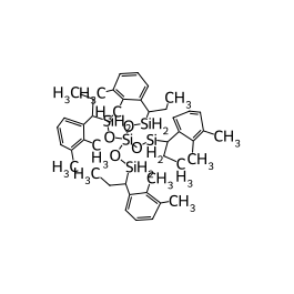 CCC([SiH2]O[Si](O[SiH2]C(CC)c1cccc(C)c1C)(O[SiH2]C(CC)c1cccc(C)c1C)O[SiH2]C(CC)c1cccc(C)c1C)c1cccc(C)c1C